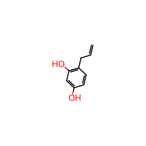 C=CCc1ccc(O)cc1O